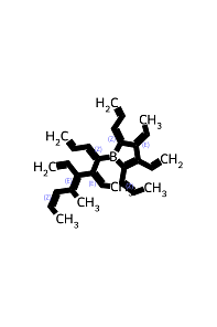 C=C/C=C1B(C(=C/C=C)/C(=C\C)C(/C=C)=C(C)/C=C\C)C(/C=C\C)=C(C=C)C/1=C/C